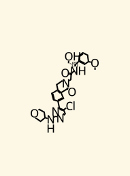 COC1C=C([C@@H](CO)NC(=O)CN2CCc3ccc(-c4nc(NC5CCOCC5)ncc4Cl)cc3C2=O)C=CC1